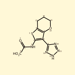 O=C(O)C(=O)Nc1sc2c(c1-c1nn[nH]n1)OCCC2